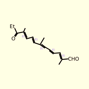 CCC(=O)/C(C)=C/C=C/C(C)=C/C=C/C=C(\C)C=O